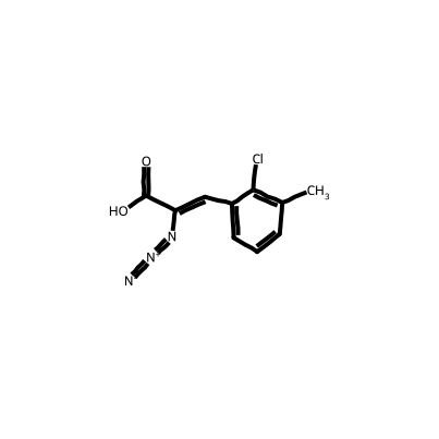 Cc1cccc(/C=C(\N=[N+]=[N-])C(=O)O)c1Cl